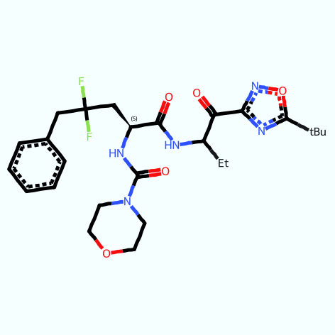 CCC(NC(=O)[C@H](CC(F)(F)Cc1ccccc1)NC(=O)N1CCOCC1)C(=O)c1noc(C(C)(C)C)n1